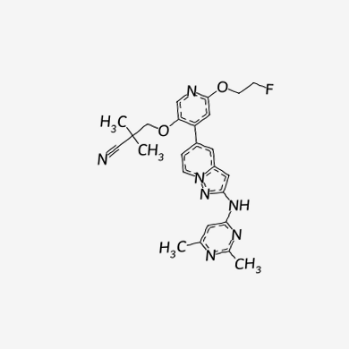 Cc1cc(Nc2cc3cc(-c4cc(OCCF)ncc4OCC(C)(C)C#N)ccn3n2)nc(C)n1